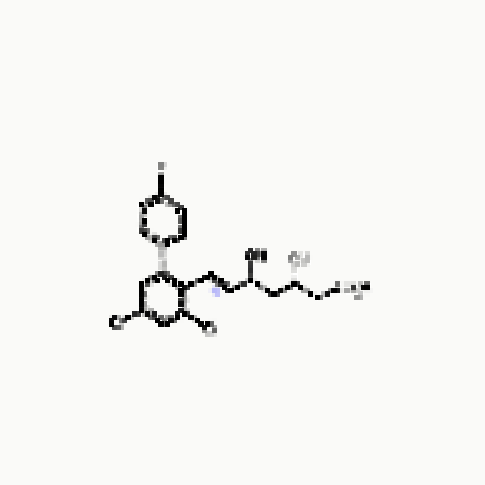 O=C(O)CC(O)CC(O)/C=C/c1c(Cl)cc(Cl)cc1-c1ccc(F)cc1